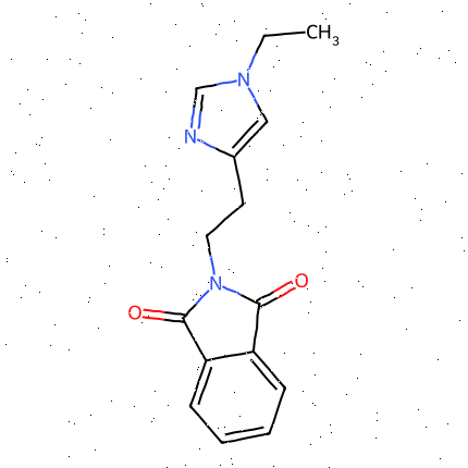 CCn1cnc(CCN2C(=O)c3ccccc3C2=O)c1